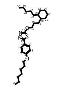 CCCCCCCOc1ccc(-c2nnc(OCCCC3CCCCC3CCCCC)s2)cc1